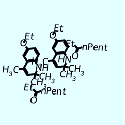 CCCCCC(=O)CC.CCCCCC(=O)CC.CCOc1ccc2c(c1)C(C)=CC(C)(C)N2.CCOc1ccc2c(c1)C(C)=CC(C)(C)N2